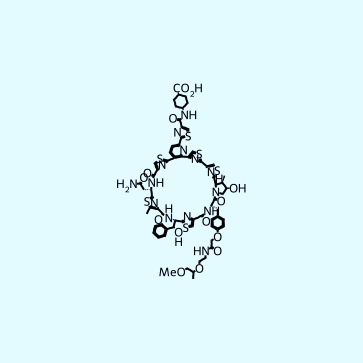 COCC(C)OCCNC(=O)COc1ccc(C[C@@H]2NC(=O)c3csc(n3)[C@H]([C@H](O)c3ccccc3)NC(=O)c3nc(sc3C)[C@H](CC(N)=O)NC(=O)c3csc(n3)-c3ccc(-c4nc(C(=O)N[C@H]5CC[C@H](C(=O)O)CC5)cs4)nc3-c3csc(n3)-c3csc(n3)[C@@H]3[C@@H](C)[C@@H](O)CN3C2=O)cc1